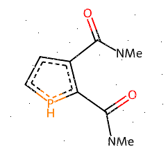 CNC(=O)c1cc[pH]c1C(=O)NC